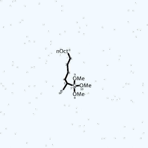 CCCCCCCCCCCCC(F)[Si](OC)(OC)OC